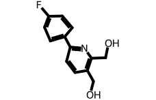 OCc1ccc(-c2ccc(F)cc2)nc1CO